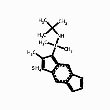 CC1=Cc2cc3c(cc2=[C]1[Ti]([CH3])([CH3])[NH]C(C)(C)C)C=CC=3.[SiH4]